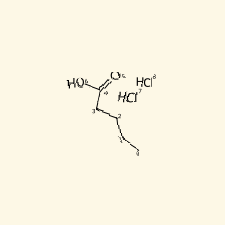 CCCCC(=O)O.Cl.Cl